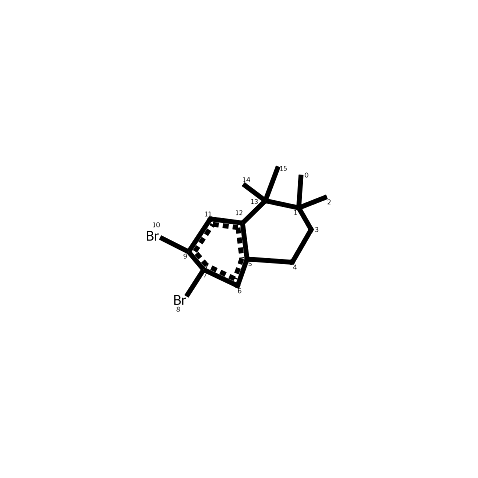 CC1(C)CCc2cc(Br)c(Br)cc2C1(C)C